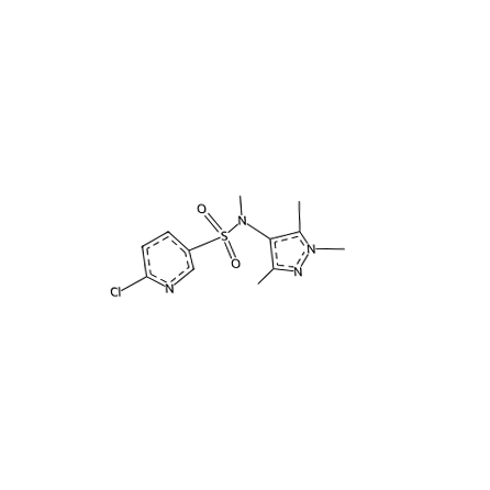 Cc1nn(C)c(C)c1N(C)S(=O)(=O)c1ccc(Cl)nc1